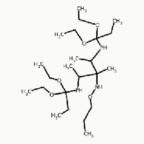 CCCONC(C)(C(C)PC(CC)(OCC)OCC)C(C)PC(CC)(OCC)OCC